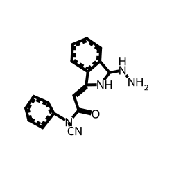 N#CN(C(=O)C=C1NC(NN)c2ccccc21)c1ccccc1